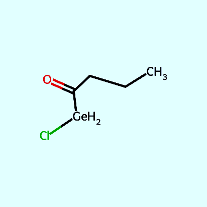 CCC[C](=O)[GeH2][Cl]